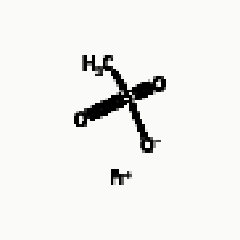 CS(=O)(=O)[O-].[Fr+]